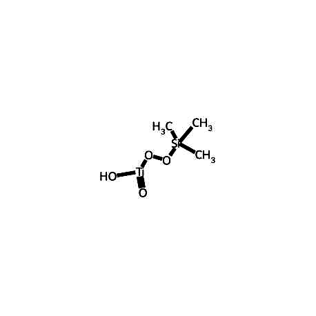 C[Si](C)(C)O[O][Ti](=[O])[OH]